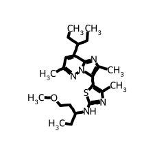 CCC(CCOC)Nc1nc(C)c(-c2c(C)nc3c(C(CC)CC)cc(C)nn23)s1